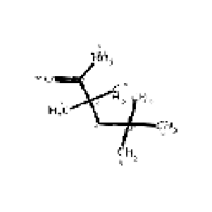 CC(C)(C)CC(C)(C)C(N)=O